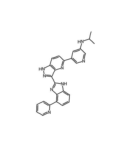 CC(C)Nc1cncc(-c2ccc3[nH]nc(-c4nc5c(-c6ccccn6)cccc5[nH]4)c3n2)c1